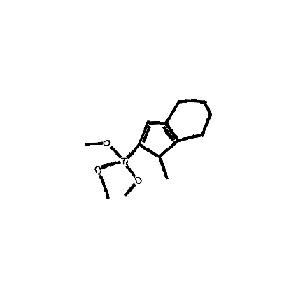 C[O][Ti]([O]C)([O]C)[C]1=CC2=C(CCCC2)C1C